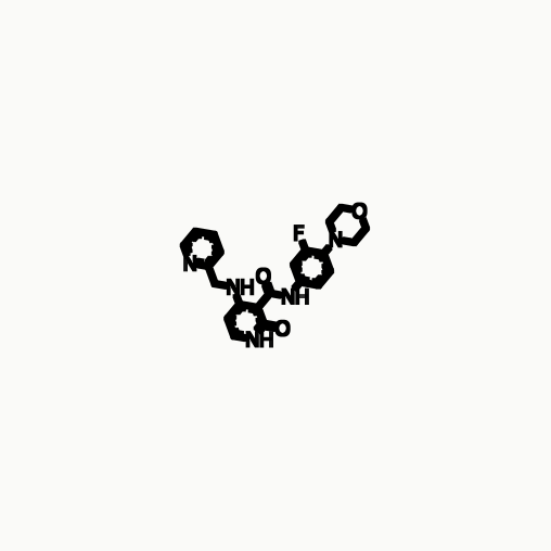 O=C(Nc1ccc(N2CCOCC2)c(F)c1)c1c(NCc2ccccn2)cc[nH]c1=O